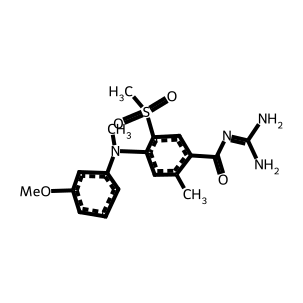 COc1cccc(N(C)c2cc(C)c(C(=O)N=C(N)N)cc2S(C)(=O)=O)c1